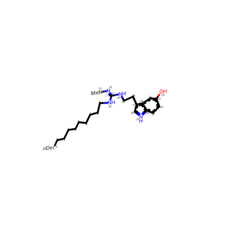 CCCCCCCCCCCCCCCCCCCN/C(=N\NC)NCCc1c[nH]c2ccc(O)cc12